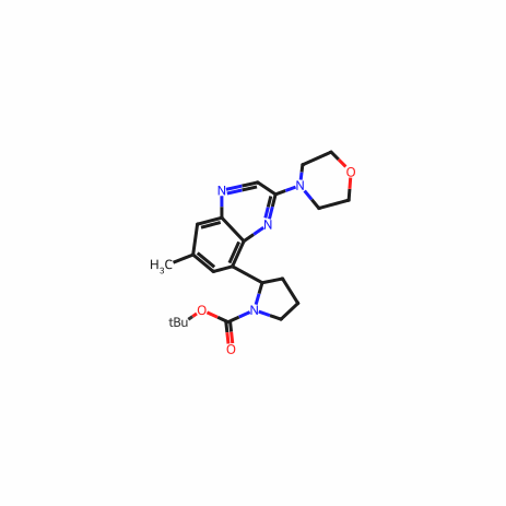 Cc1cc(C2CCCN2C(=O)OC(C)(C)C)c2nc(N3CCOCC3)cnc2c1